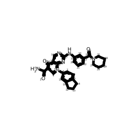 NC(=O)c1cn(-c2ccc3c(c2)CCC3)c2nc(Nc3cccc(C(=O)N4CCCCC4)c3)ncc2c1=O